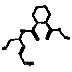 CC(C)C[C@@H](C=CC(=O)O)NC(=O)[C@@H]1CCCCN1C(=O)OC(C)(C)C